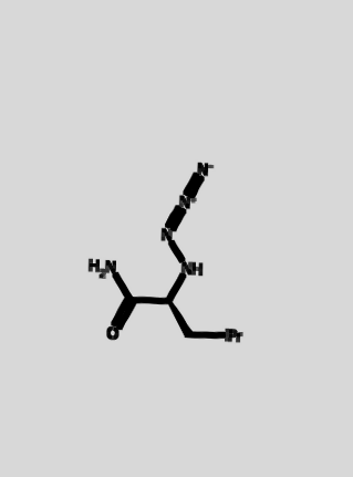 CC(C)C[C@H](NN=[N+]=[N-])C(N)=O